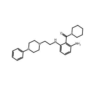 Nc1cccc(NCCN2CCN(c3ccccc3)CC2)c1C(=O)N1CCCCC1